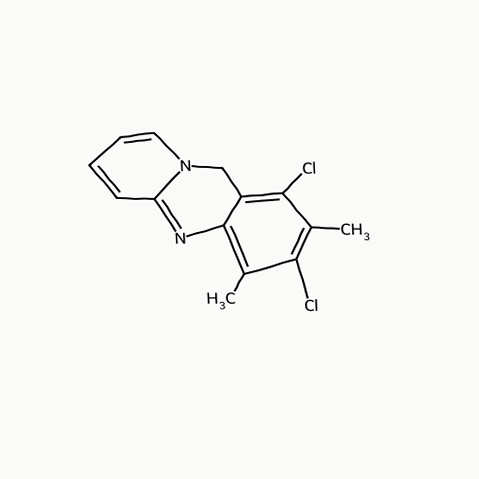 Cc1c(Cl)c(C)c2c(c1Cl)CN1C=CC=CC1=N2